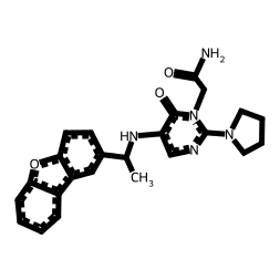 CC(Nc1cnc(N2CCCC2)n(CC(N)=O)c1=O)c1ccc2oc3ccccc3c2c1